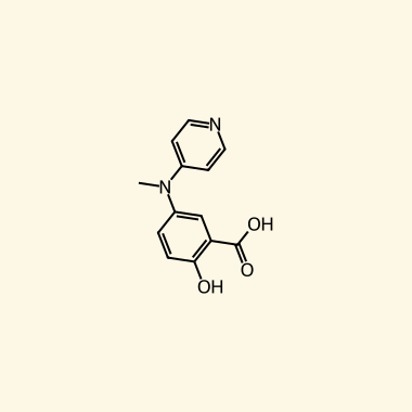 CN(c1ccncc1)c1ccc(O)c(C(=O)O)c1